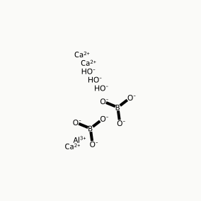 [Al+3].[Ca+2].[Ca+2].[Ca+2].[O-]B([O-])[O-].[O-]B([O-])[O-].[OH-].[OH-].[OH-]